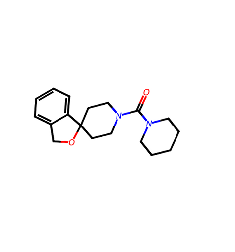 O=C(N1CCCCC1)N1CCC2(CC1)OCc1ccccc12